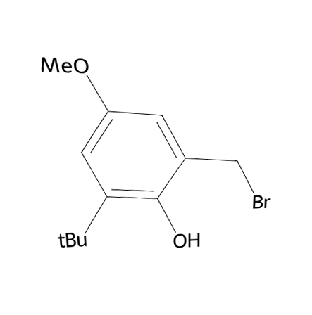 COc1cc(CBr)c(O)c(C(C)(C)C)c1